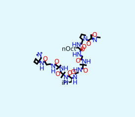 CCCCCCCCC(NC(=O)C1CCCN1C(=O)c1coc(C)n1)C(=O)NCC(=O)NC(C)(C)C(=O)NCC(=O)N[C@@H](CC(C)C)C(=O)NC(C)(C)C(=O)NC(C)(C)C(=O)NCCC(=O)NC1(CN(C)C)CCC1